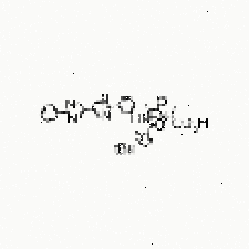 C[C@@H](NC(=O)[C@H](Cc1ccc(-c2ncc(-c3cnc(-c4ccccc4)nc3)cn2)cc1)NC(=O)c1ccc(C(C)(C)C)s1)C(=O)O